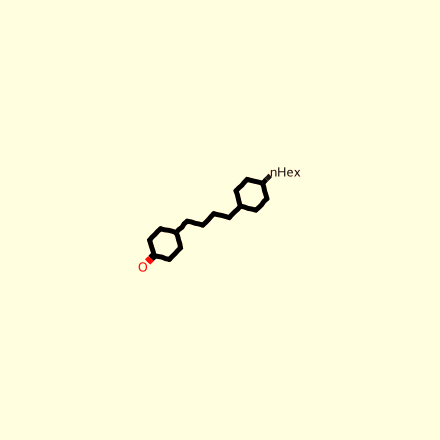 CCCCCCC1CCC(CCCCC2CCC(=O)CC2)CC1